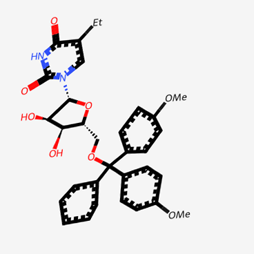 CCc1cn([C@@H]2O[C@H](COC(c3ccccc3)(c3ccc(OC)cc3)c3ccc(OC)cc3)[C@@H](O)[C@H]2O)c(=O)[nH]c1=O